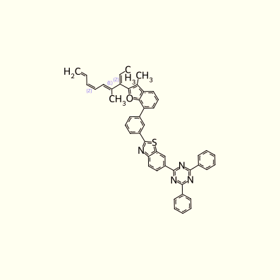 C=C\C=C/C=C(C)/C(=C/C)c1oc2c(-c3cccc(-c4nc5ccc(-c6nc(-c7ccccc7)nc(-c7ccccc7)n6)cc5s4)c3)cccc2c1C